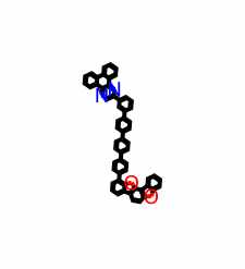 c1cc(-c2ccc(-c3ccc(-c4ccc(-c5cccc6c5oc5c6ccc6oc7ccccc7c65)cc4)cc3)cc2)cc(-c2cnc3c4ccccc4c4ccccc4c3n2)c1